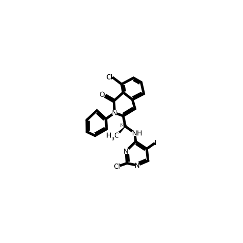 C[C@H](Nc1nc(Cl)ncc1I)c1cc2cccc(Cl)c2c(=O)n1-c1ccccc1